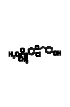 CN(C)C(=O)Nc1ccc(OCCc2ccc(O)cc2)c(Cl)c1